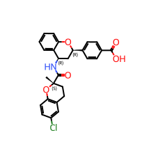 C[C@@]1(C(=O)N[C@@H]2C[C@H](c3ccc(C(=O)O)cc3)Oc3ccccc32)CCc2cc(Cl)ccc2O1